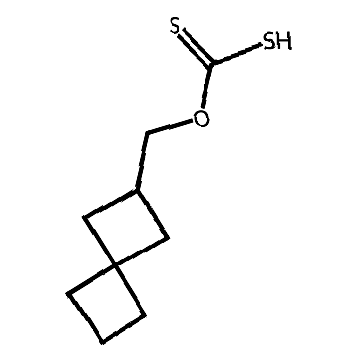 S=C(S)OCC1CC2(CCC2)C1